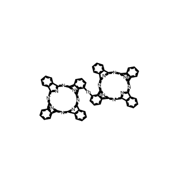 c1ccc2c(c1)-c1nc-2nc2[nH]c(nc3nc(nc4[nH]c(n1)c1ccccc41)-c1ccccc1-3)c1[c]([Tb][c]3cccc4c5nc6nc(nc7[nH]c(nc8nc(nc([nH]5)c34)-c3ccccc3-8)c3ccccc73)-c3ccccc3-6)cccc21